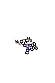 Cc1cc2c(cc1-c1cc3c(cc1N(c1ccccc1)c1ccc4ccccc4c1)C1(c4ccccc4-c4ccccc41)c1ccccc1-3)C(C)(C)CCC2(C)C